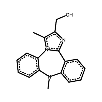 Cc1c(CO)nc2n1-c1ccccc1N(C)c1ccccc1-2